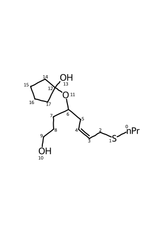 CCCSC/C=C\CC(CCCO)OC1(O)CCCC1